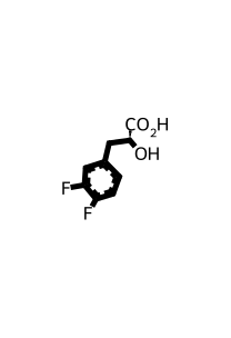 O=C(O)[C@H](O)Cc1ccc(F)c(F)c1